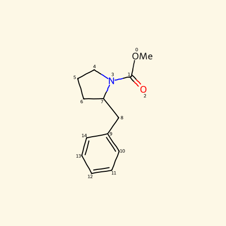 COC(=O)N1CCCC1Cc1ccccc1